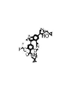 COc1cc(-c2c3c(C#N)cc(-c4cnn(CC5(O)CC5)c4)cc3nn2C)cc(OC(F)F)c1C(=O)NCC1(F)CC1